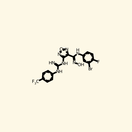 N=C(Nc1ccc(C(F)(F)F)cc1)Nc1nonc1/C(=N/O)Nc1ccc(F)c(Br)c1